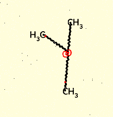 CCCCCCCCCCCCCCCCCCCCCC(=O)OC(CCCCCCCCCCCCCCCC)CCCCCCCCCCCCCCCCC